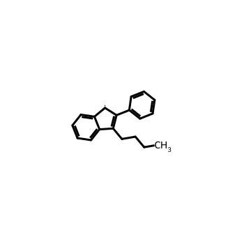 CCCCC1=C(c2ccccc2)[CH]c2ccccc21